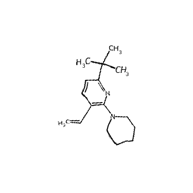 C=Cc1ccc(C(C)(C)C)nc1N1CCCCC1